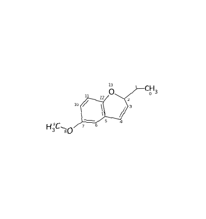 CCC1C=Cc2cc(OC)ccc2O1